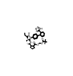 CCC1=S(C)C(=NC(=O)C2=C(C(=O)OCOC(=O)C(C)(C)C)CCC2)N(c2ccc(-c3ccccc3-c3nnn[nH]3)cc2)N1